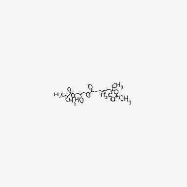 C=C(C)C(=O)OCC(O)COC(=O)CCSCC(C)(C)OC(C)=O